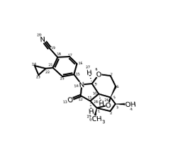 C[C@@]12C[C@H](O)[C@]3(CCO[C@H]4[C@@H]3[C@@H]1C(=O)N4c1ccc(C#N)c(C3CC3)c1)O2